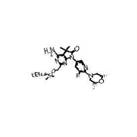 C[C@@H]1CN(c2ncc(N3C(=O)C(C)(C)c4c(N)nc(CO[Si](C)(C)C(C)(C)C)nc43)cc2F)C[C@H](C)O1